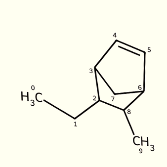 CCC1C2C=CC(C2)C1C